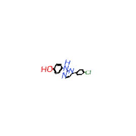 Oc1ccc(Nc2nccc(-c3ccc(Cl)cc3)n2)cc1